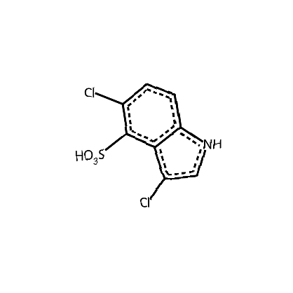 O=S(=O)(O)c1c(Cl)ccc2[nH]cc(Cl)c12